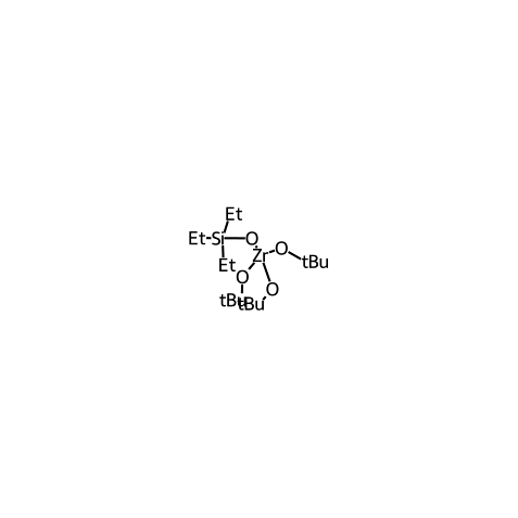 CC[Si](CC)(CC)[O][Zr]([O]C(C)(C)C)([O]C(C)(C)C)[O]C(C)(C)C